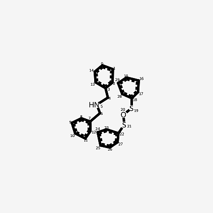 c1ccc(CNCc2ccccc2)cc1.c1ccc(SOSc2ccccc2)cc1